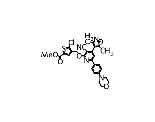 COC(=O)c1cc(COc2nc(-c3ccc(N4CCOCC4)cc3)cc(-c3c(C)noc3C)c2C#N)c(Cl)s1